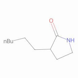 CCCCCCC1CCNC1=O